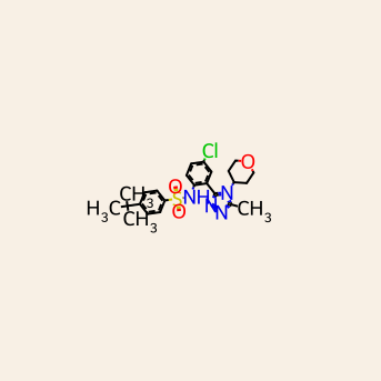 Cc1nnc(-c2cc(Cl)ccc2NS(=O)(=O)c2ccc(C(C)(C)C)cc2)n1C1CCOCC1